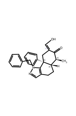 C[C@@H]1C(=O)/C(=C\O)C[C@]2(c3ccccc3)c3c(cnn3Cc3ccccc3)CC[C@@H]12